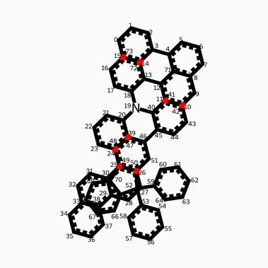 c1ccc(-c2cccc3cccc(-c4ccccc4N(c4cccc(-c5cccc6c5ccc5ccccc56)c4)c4ccccc4-c4ccc5c(c4)C(c4ccccc4)(c4ccccc4)c4ccccc4-5)c23)cc1